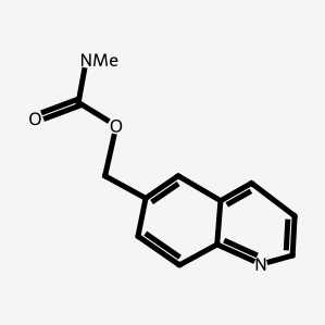 CNC(=O)OCc1ccc2ncccc2c1